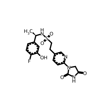 C[C@@H](NS(=O)(=O)CCc1ccc(N2CC(=O)NC2=O)nc1)c1ccc(F)c(O)c1